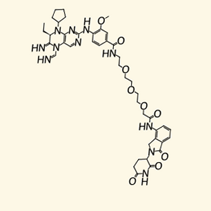 CC[C@@H]1C(=N)N(C=N)c2cnc(Nc3ccc(C(=O)NCCOCCOCCOCC(=O)Nc4cccc5c4CN(C4CCC(=O)NC4=O)C5=O)cc3OC)nc2N1C1CCCC1